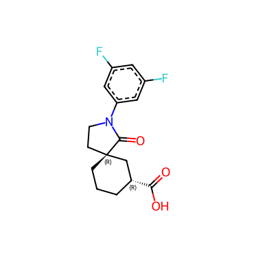 O=C(O)[C@@H]1CCC[C@]2(CCN(c3cc(F)cc(F)c3)C2=O)C1